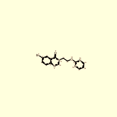 O=c1c2cc(Br)ccc2ncn1CCOc1ncccn1